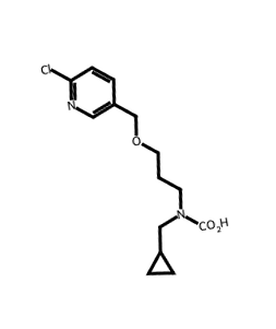 O=C(O)N(CCCOCc1ccc(Cl)nc1)CC1CC1